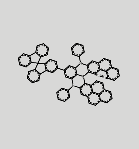 c1ccc(N2c3cc(-c4ccc5c(c4)-c4ccccc4C54c5ccccc5-c5ccccc54)cc4c3B(c3c2cc2ccc5cccc6ccc3c2c56)c2c(cc3ccc5cccc6ccc2c3c56)N4c2ccccc2)cc1